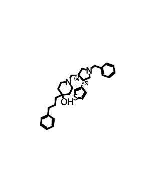 OC1(CCCc2ccccc2)CCN(C[C@H]2CN(Cc3ccccc3)C[C@@H]2c2ccsc2)CC1